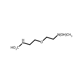 CN(O)CCOCCNC(=O)O